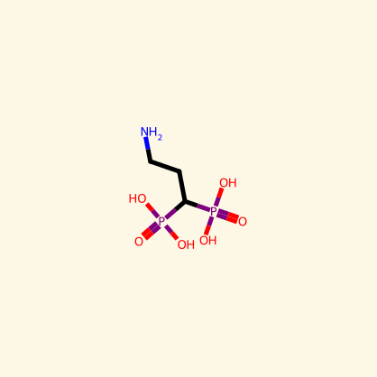 NCCC(P(=O)(O)O)P(=O)(O)O